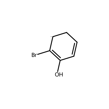 OC1=C(Br)[CH]CC=C1